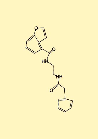 O=C(Cc1ccccc1)NCCNC(=O)c1cccc2occc12